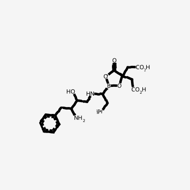 CC(C)CC(NCC(O)C(N)Cc1ccccc1)B1OC(=O)C(CC(=O)O)(CC(=O)O)O1